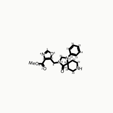 COC(=O)c1ncoc1CN1CN(c2ccccc2)C2(CCNCC2)C1=O